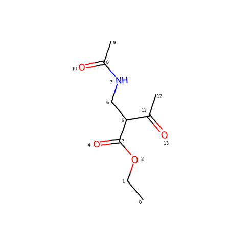 CCOC(=O)C(CNC(C)=O)C(C)=O